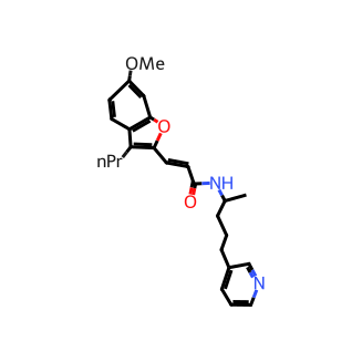 CCCc1c(/C=C/C(=O)NC(C)CCCc2cccnc2)oc2cc(OC)ccc12